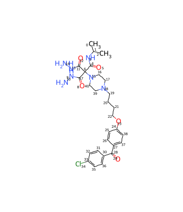 CC(C)NC(=O)C(C(=O)NN)(C(=O)NN)N1CCN(CCCCOc2ccc(C(=O)c3ccc(Cl)cc3)cc2)CC1